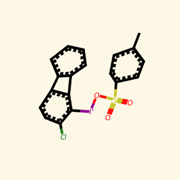 Cc1ccc(S(=O)(=O)O[I+]c2c(Cl)ccc3c2-c2ccccc2-3)cc1